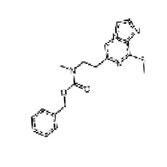 CSc1nc(CCN(C)C(=O)OCc2ccccc2)cn2ccnc12